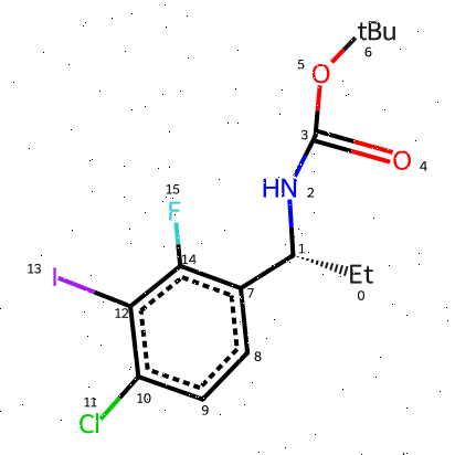 CC[C@@H](NC(=O)OC(C)(C)C)c1ccc(Cl)c(I)c1F